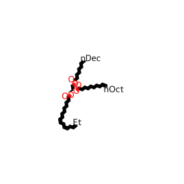 CC/C=C\C/C=C\C/C=C\CCCCCCCC(=O)OC[C@@H](COC(=O)CCCCCCCCCCCCCCCCC)OC(=O)CCCCCCC/C=C\CCCCCCCC